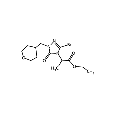 CCOC(=O)C(C)n1c(Br)nn(CC2CCOCC2)c1=O